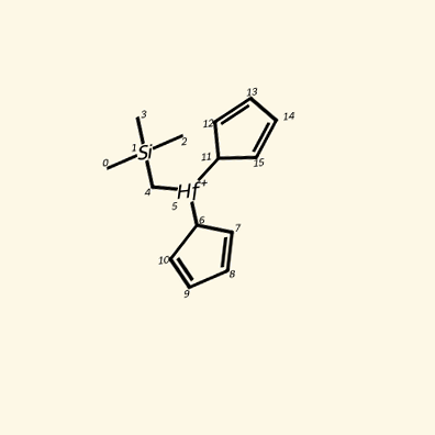 C[Si](C)(C)[CH2][Hf+]([CH]1C=CC=C1)[CH]1C=CC=C1